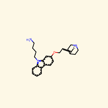 NCCCCn1c2ccccc2c2ccc(OCC=C3CN4CCC3CC4)cc21